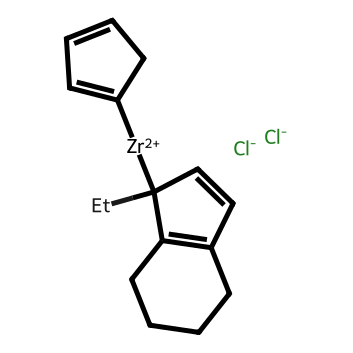 CC[C]1([Zr+2][C]2=CC=CC2)C=CC2=C1CCCC2.[Cl-].[Cl-]